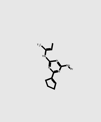 CC=C(Nc1nc(NC(C)C)nc(C2=CCCC2)n1)C(F)(F)F